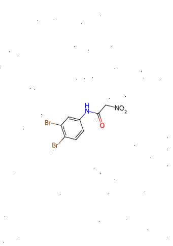 O=C(C[N+](=O)[O-])Nc1ccc(Br)c(Br)c1